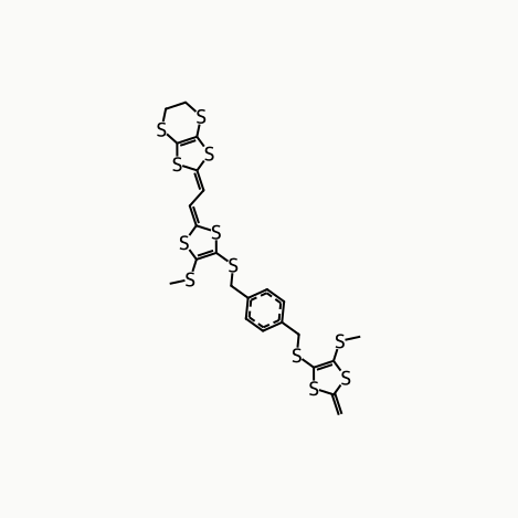 C=C1SC(SC)=C(SCc2ccc(CSC3=C(SC)S/C(=C/C=C4SC5=C(SCCS5)S4)S3)cc2)S1